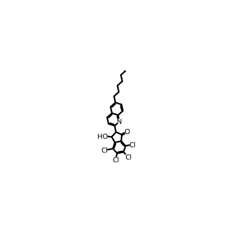 CCCCCCc1ccc2nc(C3C(=O)c4c(Cl)c(Cl)c(Cl)c(Cl)c4C3O)ccc2c1